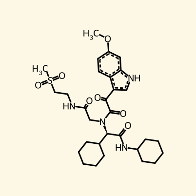 COc1ccc2c(C(=O)C(=O)N(CC(=O)NCCS(C)(=O)=O)[C@@H](C(=O)NC3CCCCC3)C3CCCCC3)c[nH]c2c1